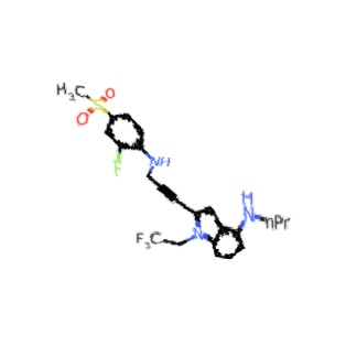 CCCNc1cccc2c1cc(C#CCNc1ccc(S(C)(=O)=O)cc1F)n2CC(F)(F)F